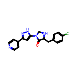 O=C1C(Cc2ccc(Cl)cc2)NCN1c1cc(-c2ccncc2)n[nH]1